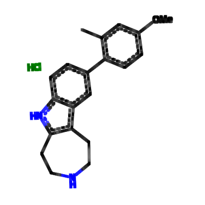 COc1ccc(-c2ccc3[nH]c4c(c3c2)CCNCC4)c(C)c1.Cl